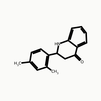 Cc1ccc(C2CC(=O)c3ccccc3N2)c(C)c1